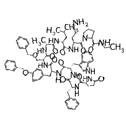 CCNC(=O)[C@@H]1CCCN1C(=O)[C@H](CCCN)NC(=O)[C@H](CC(C)C)NC(=O)[C@@H](C)NC(=O)[C@H](COCc1ccccc1)NC(=O)[C@H](Cc1ccc(OCc2ccccc2)cc1)NC(=O)[C@H](Cc1c[nH]c2ccccc12)NC(=O)[C@@H](Cc1ccccc1)NC(=O)[C@@H]1CCC(=O)N1